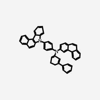 C1=C(c2ccccc2)CCC=C1N(c1ccc(-n2c3ccccc3c3c4ccccc4ccc32)cc1)c1ccc2ccc3ccccc3c2c1